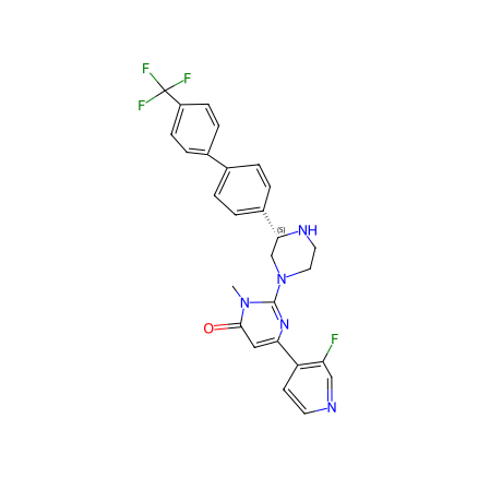 Cn1c(N2CCN[C@@H](c3ccc(-c4ccc(C(F)(F)F)cc4)cc3)C2)nc(-c2ccncc2F)cc1=O